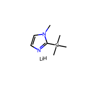 Cn1ccnc1[Si](C)(C)C.[LiH]